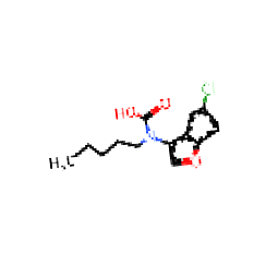 CCCCCN(C(=O)O)c1coc2ccc(Cl)cc12